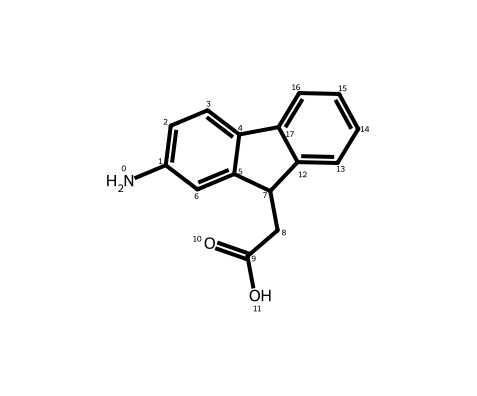 Nc1ccc2c(c1)C(CC(=O)O)c1ccccc1-2